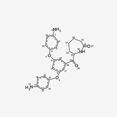 Nc1ccc(Oc2cc(Oc3ccc(N)cc3)cc(C(=O)C3CCCCC(=O)N3)c2)cc1